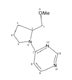 COCC1CCCN1c1ccn[c]n1